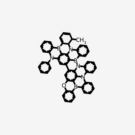 CC1C=CC=C2B3c4ccccc4N(c4ccccc4)c4cc5c6c(c43)N(c3ccccc3B6N3c4ccccc4N4c6ccccc6B6c7ccccc7Oc7cc-5c3c4c76)C21